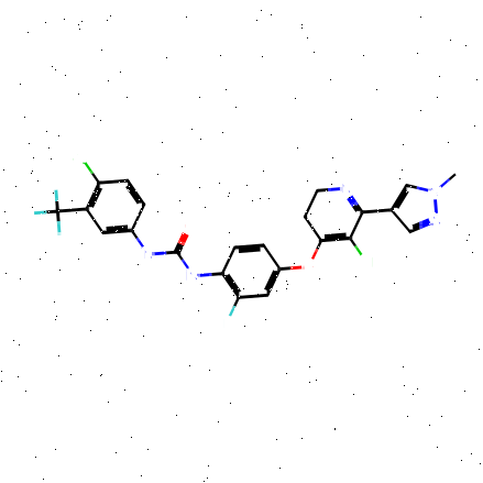 Cn1cc(C2=NCCC(Oc3ccc(NC(=O)Nc4ccc(Cl)c(C(F)(F)F)c4)c(F)c3)=C2Cl)cn1